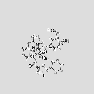 C[C@H](Cc1cccc(CC(=O)N(C)CCC2CCCCC2)c1)NC[C@@H](O[Si](C)(C)C(C)(C)C)c1ccc(O)c(CO)c1